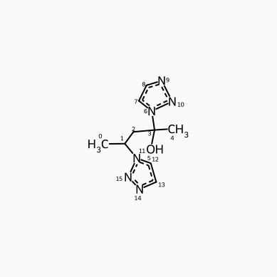 CC(CC(C)(O)n1ccnn1)n1ccnn1